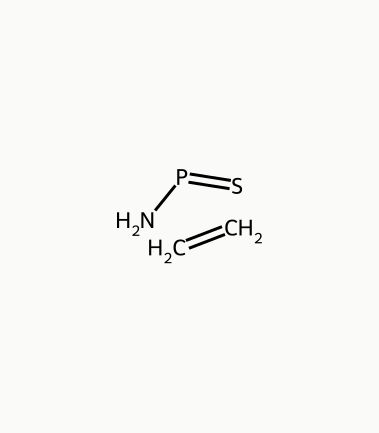 C=C.NP=S